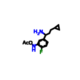 CC(=O)ONc1cc(C(N)CCC2CC2)ccc1F